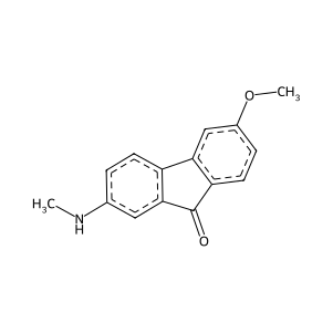 CNc1ccc2c(c1)C(=O)c1ccc(OC)cc1-2